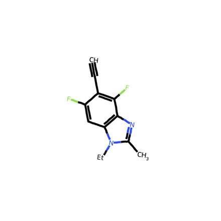 C#Cc1c(F)cc2c(nc(C)n2CC)c1F